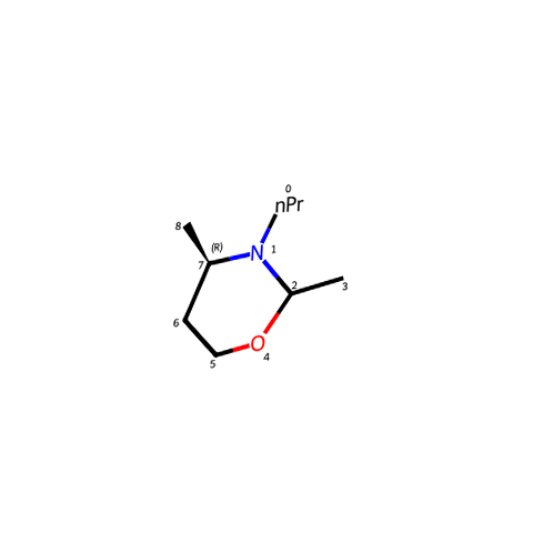 CCCN1C(C)OCC[C@H]1C